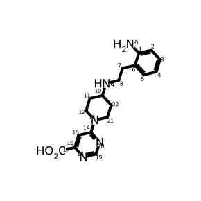 Nc1ccccc1CCNC1CCN(c2cc(C(=O)O)ncn2)CC1